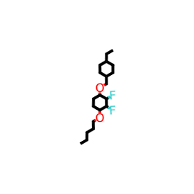 CCCCCOC1CCC(OCC2CCC(CC)CC2)C(F)C1F